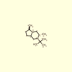 C=C1CCC2CN(C(C)(C)C)[C@@H](C)CN12